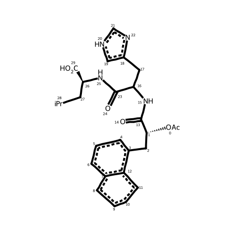 CC(=O)O[C@H](Cc1cccc2ccccc12)C(=O)NC(Cc1c[nH]cn1)C(=O)N[C@@H](CC(C)C)C(=O)O